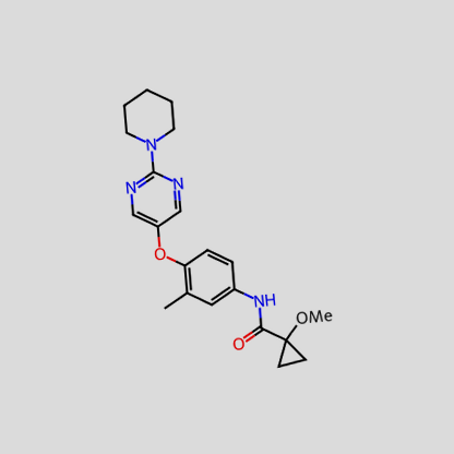 COC1(C(=O)Nc2ccc(Oc3cnc(N4CCCCC4)nc3)c(C)c2)CC1